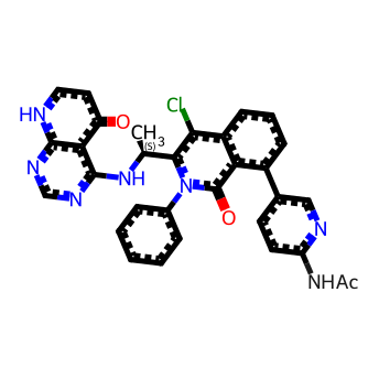 CC(=O)Nc1ccc(-c2cccc3c(Cl)c([C@H](C)Nc4ncnc5[nH]ccc(=O)c45)n(-c4ccccc4)c(=O)c23)cn1